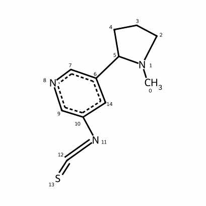 CN1CCCC1c1cncc(N=C=S)c1